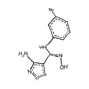 Nc1nonc1/C(=N\O)Nc1cccc(Br)c1